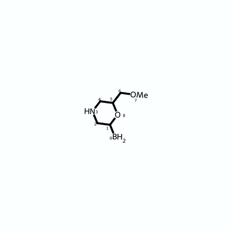 BC1CNCC(COC)O1